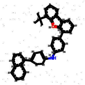 CC(C)(C)c1cccc2c1oc1c(-c3ccc(NC4=CC=C(c5cccc6ccccc56)CC4)cc3)cccc12